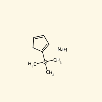 C[Si](C)(C)C1=CC=CC1.[NaH]